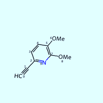 C#Cc1ccc(OC)c(OC)n1